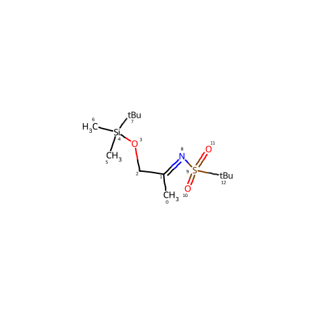 CC(CO[Si](C)(C)C(C)(C)C)=NS(=O)(=O)C(C)(C)C